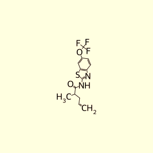 C=CCC(C)C(=O)Nc1nc2ccc(OC(F)(F)F)cc2s1